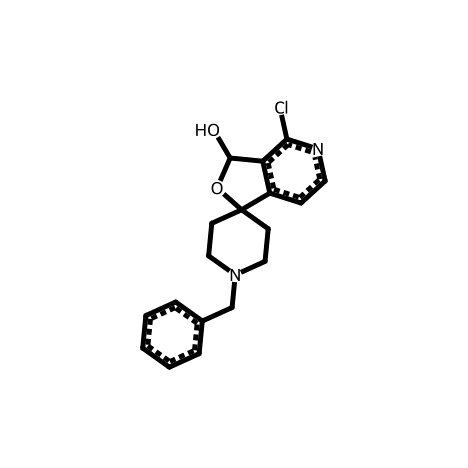 OC1OC2(CCN(Cc3ccccc3)CC2)c2ccnc(Cl)c21